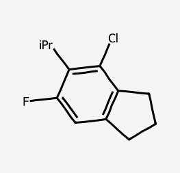 CC(C)c1c(F)cc2c(c1Cl)CCC2